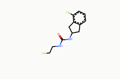 O=C(NCCF)NC1Cc2cccc(F)c2C1